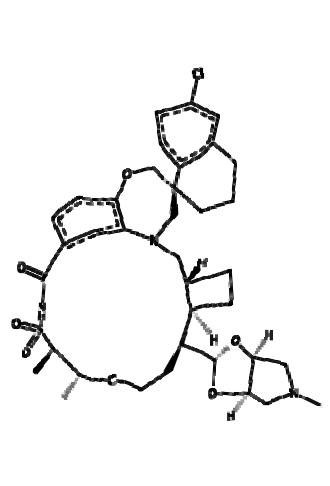 C[C@@H]1[C@@H](C)CCC[C@H]([C@@H]2O[C@H]3CN(C)C[C@H]3O2)[C@@H]2CC[C@H]2CN2C[C@@]3(CCCc4cc(Cl)ccc43)COc3ccc(cc32)C(=O)NS1(=O)=O